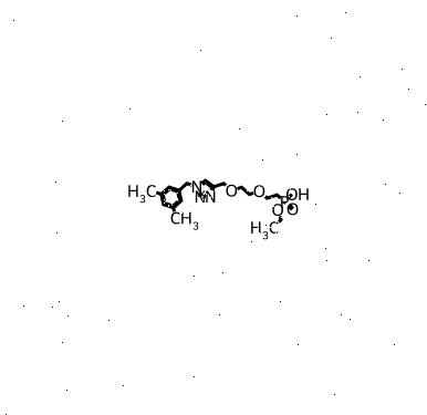 CCOP(=O)(O)CCOCCOCc1cn(Cc2cc(C)cc(C)c2)nn1